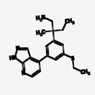 CCSc1cc(-c2ccnc3[nH]ncc23)cc(C(C)(CC)CN)c1